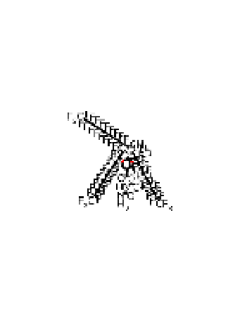 CC(NC(N)=O)OC(=O)c1ccc([Si](C(C)C(F)(F)C(F)(F)C(F)(F)C(F)(F)C(F)(F)C(F)(F)C(F)(F)C(F)(F)C(F)(F)C(F)(F)F)(C(C)C(F)(F)C(F)(F)C(F)(F)C(F)(F)C(F)(F)C(F)(F)C(F)(F)C(F)(F)C(F)(F)C(F)(F)F)C(C)C(F)(F)C(F)(F)C(F)(F)C(F)(F)C(F)(F)C(F)(F)C(F)(F)C(F)(F)C(F)(F)C(F)(F)F)cc1